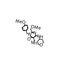 COCc1nc(NC2CCOCC2)c(C=N)c(=O)n1Cc1ccc(OC)cc1